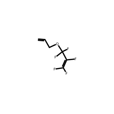 C=CCOC(F)(F)C(F)=C(F)F